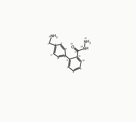 NCc1ccc(-c2ccccc2C(=O)NN)cc1